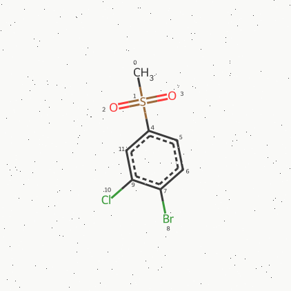 CS(=O)(=O)c1ccc(Br)c(Cl)c1